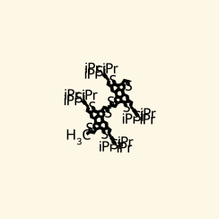 Cc1cc2c(s1)c1c3cc4cc(C#C[Si](C(C)C)(C(C)C)C(C)C)sc4c4c5cc(-c6cc7c(s6)c6c8cc9cc(C#C[Si](C(C)C)(C(C)C)C(C)C)sc9c9c%10ccsc%10c(c%10cc%11cc(C#C[Si](C(C)C)(C(C)C)C(C)C)sc%11c7c%106)c89)sc5c(c5cc6cc(C#C[Si](C(C)C)(C(C)C)C(C)C)sc6c2c51)c34